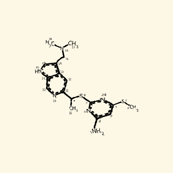 CSc1cc(N)nc(SC(C)c2cc3c(CN(C)C)c[nH]c3cn2)n1